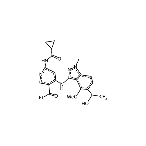 CCC(=O)c1cnc(NC(=O)C2CC2)cc1Nc1nn(C)c2ccc(C(O)C(F)(F)F)c(OC)c12